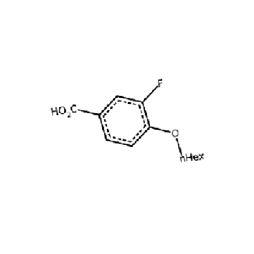 CCCCCCOc1ccc(C(=O)O)cc1F